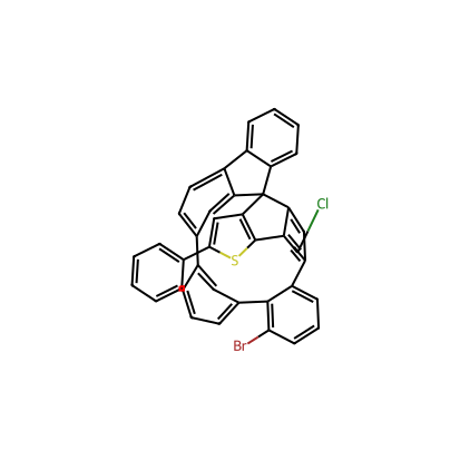 Clc1cc2cc3c1-c1sc(-c4ccccc4)cc1C31c3ccccc3-c3ccc(cc31)-c1cccc(c1)-c1c(Br)cccc1-2